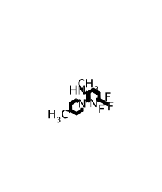 CNc1ccc(C(F)(F)F)nc1N1CCC(C)CC1